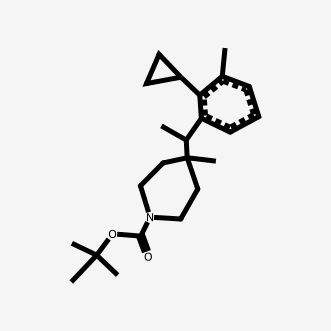 Cc1cccc(C(C)C2(C)CCN(C(=O)OC(C)(C)C)CC2)c1C1CC1